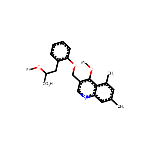 CCOC(Cc1ccccc1OCc1cnc2cc(C)cc(C)c2c1OC(C)C)C(=O)O